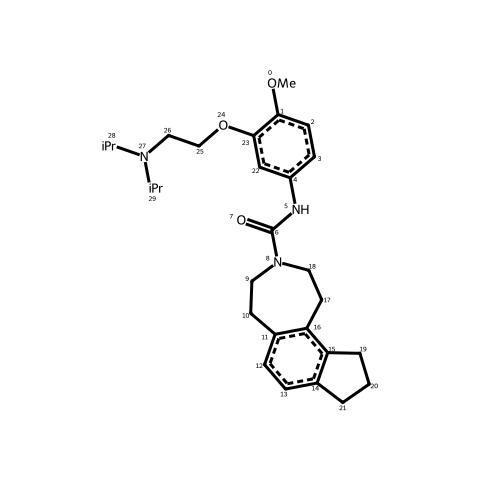 COc1ccc(NC(=O)N2CCc3ccc4c(c3CC2)CCC4)cc1OCCN(C(C)C)C(C)C